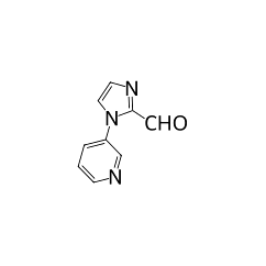 O=Cc1nccn1-c1cccnc1